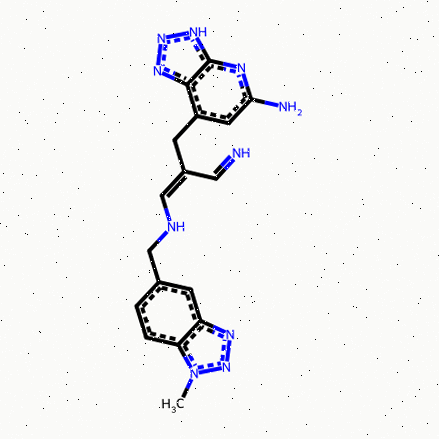 Cn1nnc2cc(CN/C=C(\C=N)Cc3cc(N)nc4[nH]nnc34)ccc21